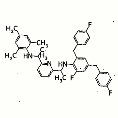 Cc1cc(C)c(NC(C)c2cccc(C(C)Nc3c(F)cc(Cc4ccc(F)cc4)cc3Cc3ccc(F)cc3)n2)c(C)c1